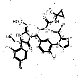 CC(C)(C)C[C@]1(c2ccc(Br)cc2F)N/C(=N\C(=O)O)N([C@H](COC(=O)NC2(C(F)(F)F)CC2)c2ccc(Cl)c(-n3ncnc3C(F)F)c2)C1=O